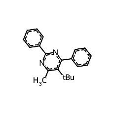 Cc1nc(-c2ccccc2)nc(-c2ccccc2)c1C(C)(C)C